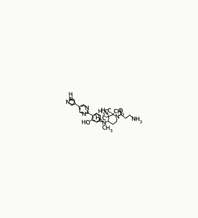 CN(c1ccc(-c2ncc(-c3cn[nH]c3)cn2)c(O)c1)C1CCN(C(=O)CCN)C(C)(C)C1(C)C